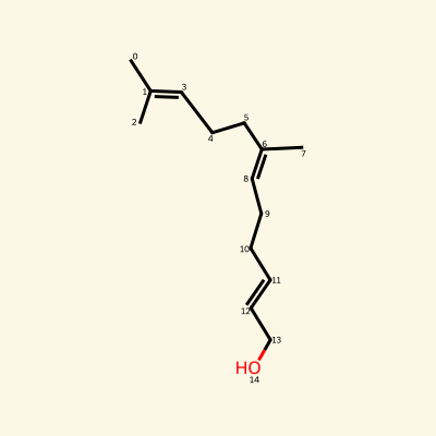 CC(C)=CCCC(C)=CCCC=CCO